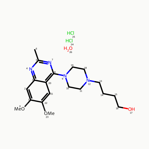 COc1cc2nc(C)nc(N3CCN(CCCCO)CC3)c2cc1OC.Cl.Cl.O